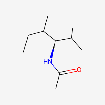 CCC(C)[C@H](NC(C)=O)C(C)C